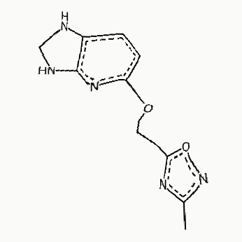 Cc1noc(COc2ccc3c(n2)NCN3)n1